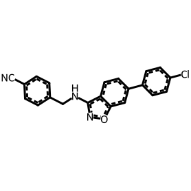 N#Cc1ccc(CNc2noc3cc(-c4ccc(Cl)cc4)ccc23)cc1